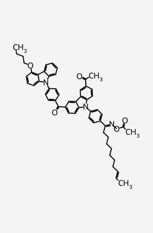 CC=CCCCCCCCC(=NOC(C)=O)c1ccc(-n2c3ccc(C(C)=O)cc3c3cc(C(=O)c4ccc(-n5c6ccccc6c6c(OCCCC)cccc65)cc4)ccc32)cc1